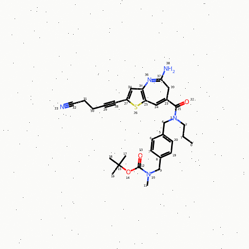 CCCN(Cc1ccc(CN(C)C(=O)OC(C)(C)C)cc1)C(=O)C1=Cc2sc(C#CCCC#N)cc2N=C(N)C1